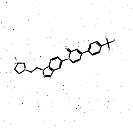 C[C@H]1CCN(CCn2ncc3cc(-n4ccc(-c5ccc(C(F)(F)F)cc5)cc4=O)ccc32)C1